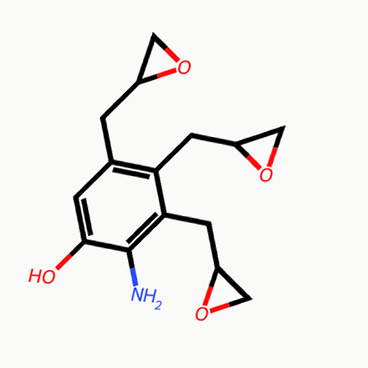 Nc1c(O)cc(CC2CO2)c(CC2CO2)c1CC1CO1